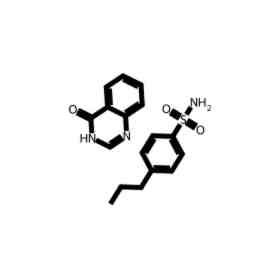 CCCc1ccc(S(N)(=O)=O)cc1.O=c1[nH]cnc2ccccc12